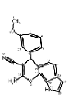 COc1cccc(C2C(C#N)=C(N)Oc3c2ccc2cc[nH]c32)c1